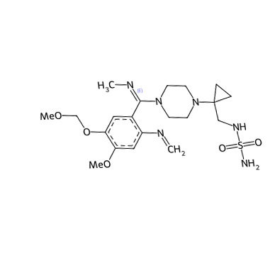 C=Nc1cc(OC)c(OCOC)cc1/C(=N\C)N1CCN(C2(CNS(N)(=O)=O)CC2)CC1